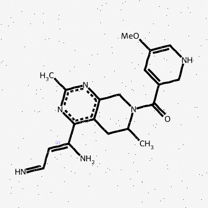 COC1=CNCC(C(=O)N2Cc3nc(C)nc(/C(N)=C/C=N)c3CC2C)=C1